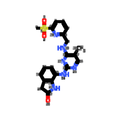 CS(=O)(=O)c1cccc(CNc2nc(Nc3cccc4c3NC(=O)C4)ncc2C(F)(F)F)n1